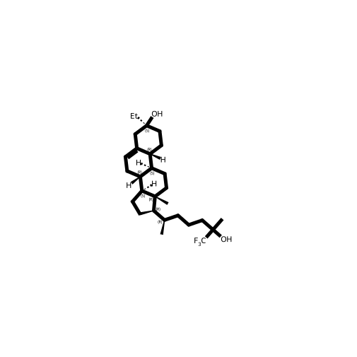 CC[C@]1(O)CC[C@H]2C(=CC[C@@H]3[C@@H]2CC[C@]2(C)[C@@H]([C@H](C)CCCC(C)(O)C(F)(F)F)CC[C@@H]32)C1